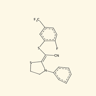 N#CC(Sc1cc(C(F)(F)F)ccc1F)=C1SCCN1c1ccccc1